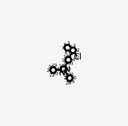 Clc1ccc2ccccc2c1-c1ccc(-c2cc(-c3ccccc3)nc(-c3ccccc3)n2)cc1